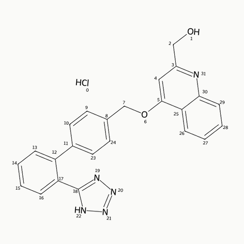 Cl.OCc1cc(OCc2ccc(-c3ccccc3-c3nnn[nH]3)cc2)c2ccccc2n1